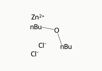 CCCCOCCCC.[Cl-].[Cl-].[Zn+2]